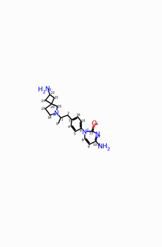 CC(Cc1ccc(-n2ccc(N)nc2=O)cc1)N1CCC2(CC(N)C2)C1